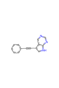 C(#Cc1c[nH]c2ncncc12)c1ccccc1